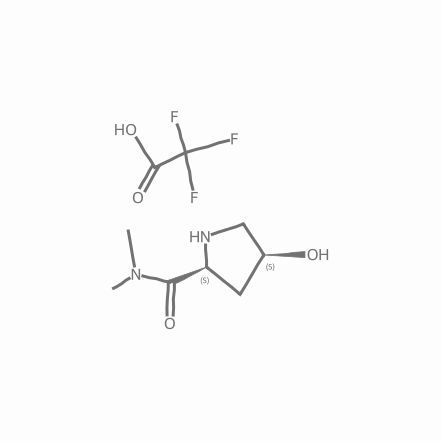 CN(C)C(=O)[C@@H]1C[C@H](O)CN1.O=C(O)C(F)(F)F